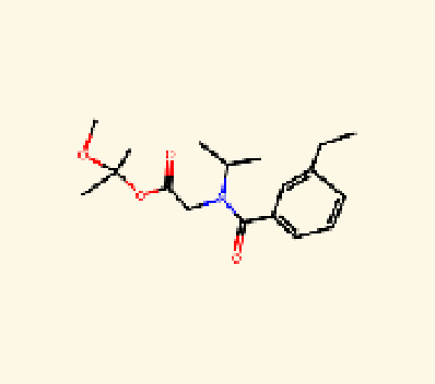 CCc1cccc(C(=O)N(CC(=O)OC(C)(C)OC)C(C)C)c1